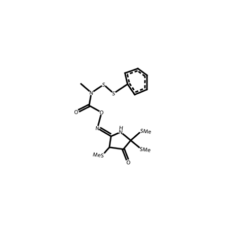 CSC1C(=O)C(SC)(SC)NC1=NOC(=O)N(C)SSc1ccccc1